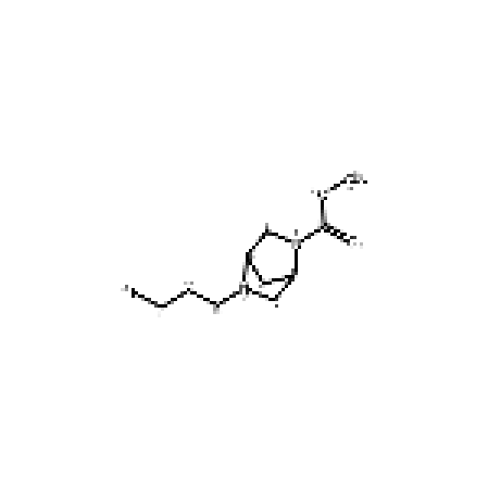 CC(C)(C)OC(=O)N1CC2CC1CN2CCCI